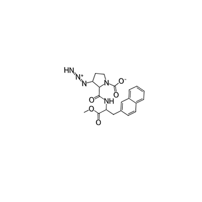 COC(=O)C(Cc1ccc2ccccc2c1)NC(=O)C1C(N=[N+]=N)CCN1C(=O)[O-]